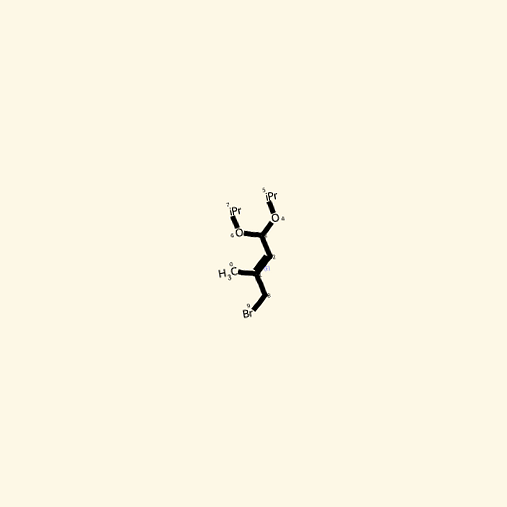 C/C(=C\C(OC(C)C)OC(C)C)CBr